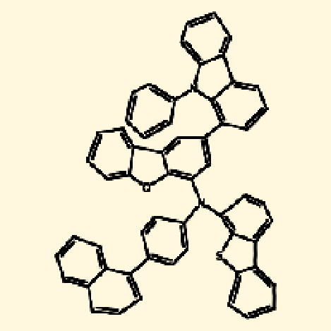 c1ccc(-n2c3ccccc3c3cccc(-c4cc(N(c5ccc(-c6cccc7ccccc67)cc5)c5cccc6c5sc5ccccc56)c5oc6ccccc6c5c4)c32)cc1